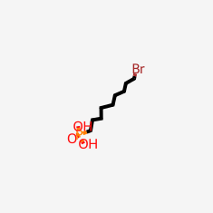 O=P(O)(O)CCCCCCCCCBr